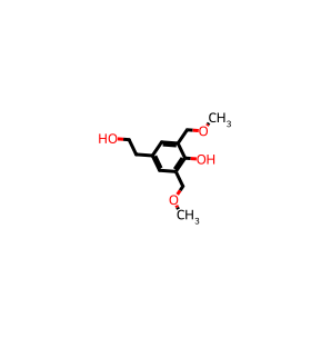 COCc1cc(CCO)cc(COC)c1O